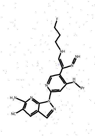 CC(C)Nc1cc(-n2ncc3cc(C#N)c(N)nc32)ncc1/C(=C/NCCCF)N=N